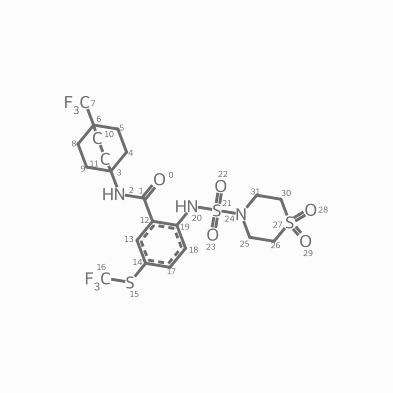 O=C(NC12CCC(C(F)(F)F)(CC1)CC2)c1cc(SC(F)(F)F)ccc1NS(=O)(=O)N1CCS(=O)(=O)CC1